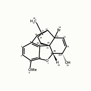 COc1ccc2c3c1O[C@H]1[C@@H](O)C=CC4(Br)C(C2)N(C)CC[C@]314